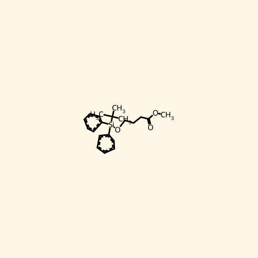 COC(=O)CCCO[Si](c1ccccc1)(c1ccccc1)C(C)(C)C